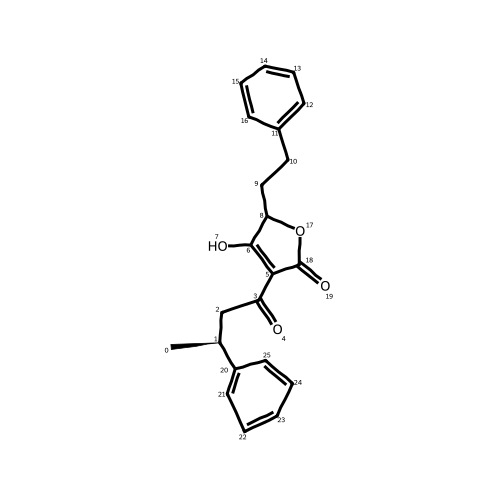 C[C@@H](CC(=O)C1=C(O)C(CCc2ccccc2)OC1=O)c1ccccc1